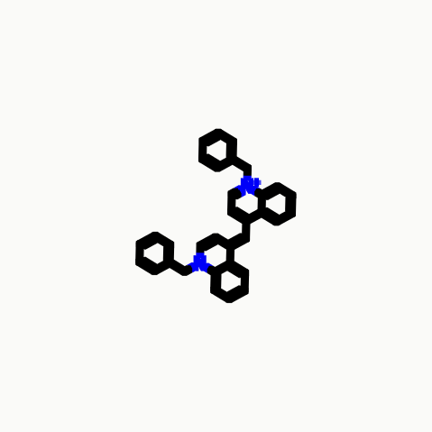 C1=CN(Cc2ccccc2)c2ccccc2C1=Cc1cc[n+](Cc2ccccc2)c2ccccc12